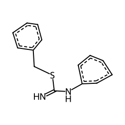 N=C(Nc1ccccc1)SCc1ccccc1